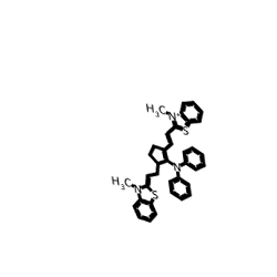 CN1/C(=C/CC2CCC(/C=C/c3sc4ccccc4[n+]3C)=C2N(c2ccccc2)c2ccccc2)Sc2ccccc21